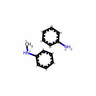 CNc1ccccc1.Nc1ccccc1